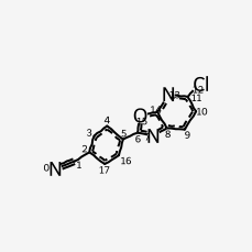 N#Cc1ccc(-c2nc3ccc(Cl)nc3o2)cc1